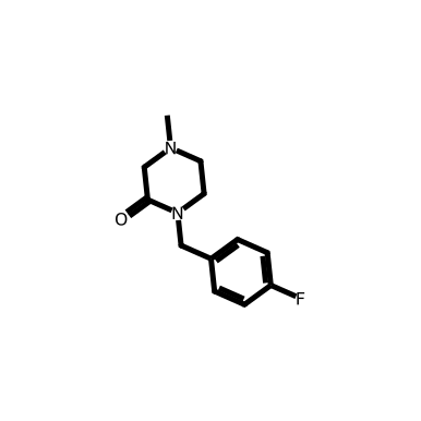 CN1CCN(Cc2ccc(F)cc2)C(=O)C1